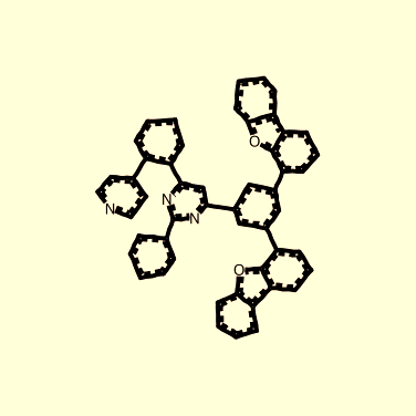 c1ccc(-c2nc(-c3cc(-c4cccc5c4oc4ccccc45)cc(-c4cccc5c4oc4ccccc45)c3)cc(-c3ccccc3-c3ccncc3)n2)cc1